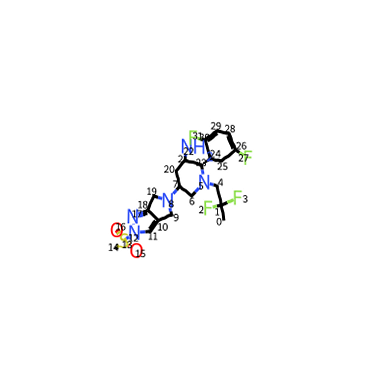 CC(F)(F)CN1CC(N2Cc3cn(S(C)(=O)=O)nc3C2)CC(N)[C@H]1C1CC(F)=CC=C1F